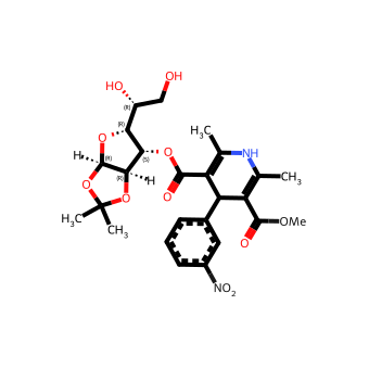 COC(=O)C1=C(C)NC(C)=C(C(=O)O[C@@H]2[C@H]3OC(C)(C)O[C@H]3O[C@@H]2[C@H](O)CO)C1c1cccc([N+](=O)[O-])c1